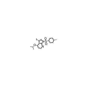 Cc1ccc(S(=O)(=O)n2cc(I)c3c(OC(C)C)ccnc32)cc1